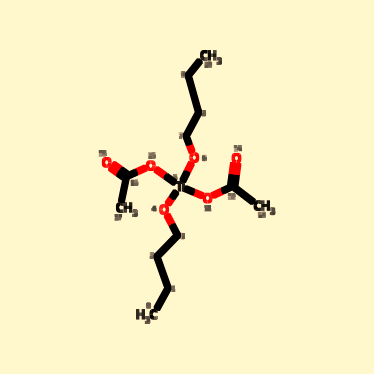 CCCC[O][Ti]([O]CCCC)([O]C(C)=O)[O]C(C)=O